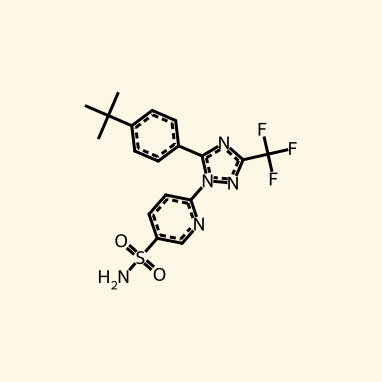 CC(C)(C)c1ccc(-c2nc(C(F)(F)F)nn2-c2ccc(S(N)(=O)=O)cn2)cc1